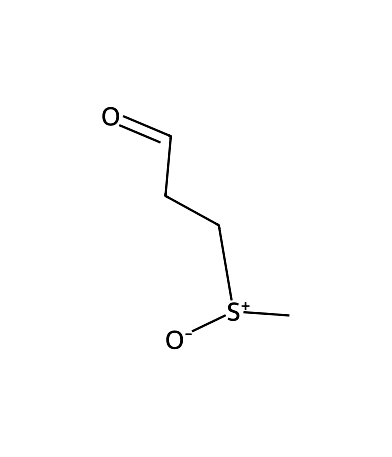 C[S+]([O-])CCC=O